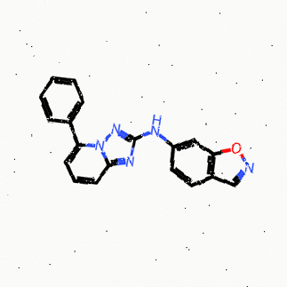 c1ccc(-c2cccc3nc(Nc4ccc5cnoc5c4)nn23)cc1